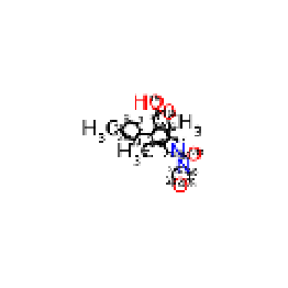 Cc1ccc(-c2c(C)c3c(c(C)c2CC(=O)O)CN(C(=O)N2CCOCC2)C3)cc1